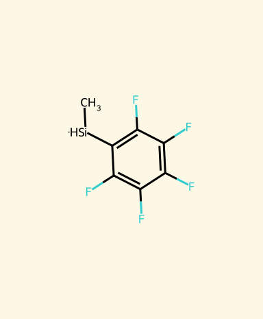 C[SiH]c1c(F)c(F)c(F)c(F)c1F